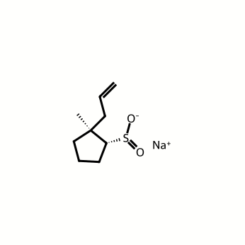 C=CC[C@]1(C)CCC[C@H]1S(=O)[O-].[Na+]